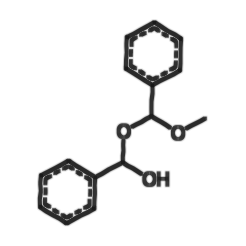 COC(OC(O)c1ccccc1)c1ccccc1